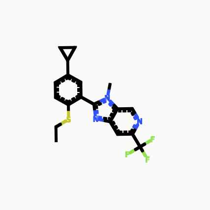 CCSc1ccc(C2CC2)cc1-c1nc2cc(C(F)(F)F)ncc2n1C